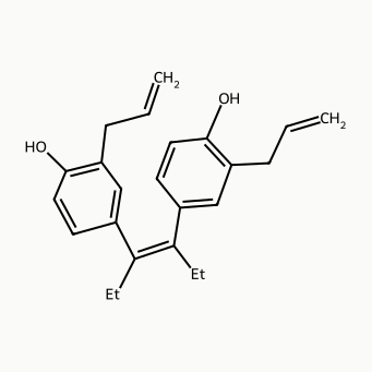 C=CCc1cc(C(CC)=C(CC)c2ccc(O)c(CC=C)c2)ccc1O